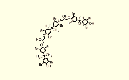 CC(C)(c1cc(Br)c(O)c(Br)c1)c1cc(Br)c(OCC(O)COc2c(Br)cc(C(C)(C)c3cc(Br)c(OCC(O)COc4c(Br)cc(C(C)(C)c5cc(Br)c(O)c(Br)c5)cc4Br)c(Br)c3)cc2Br)c(Br)c1